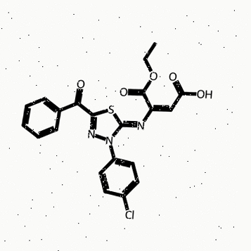 CCOC(=O)C(=CC(=O)O)N=c1sc(C(=O)c2ccccc2)nn1-c1ccc(Cl)cc1